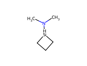 CN(C)[SiH]1CCC1